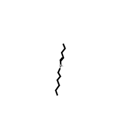 CCC/C=C/[P]CCCCCC